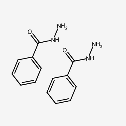 NNC(=O)c1ccccc1.NNC(=O)c1ccccc1